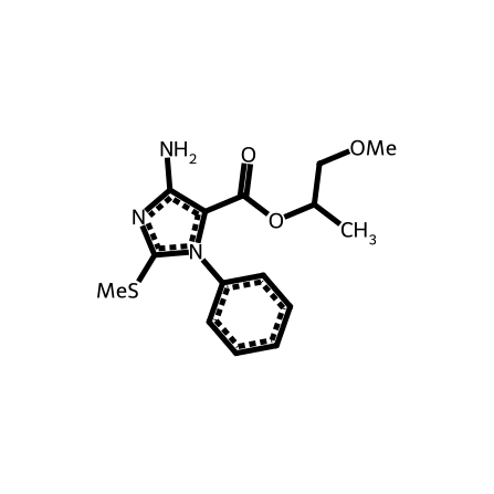 COCC(C)OC(=O)c1c(N)nc(SC)n1-c1ccccc1